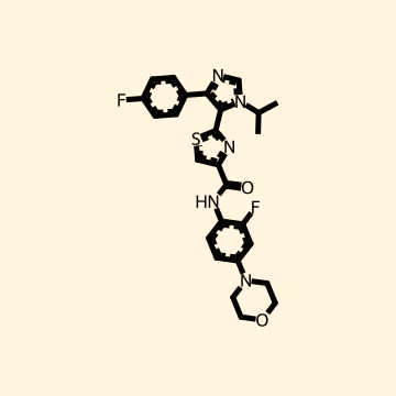 CC(C)n1cnc(-c2ccc(F)cc2)c1-c1nc(C(=O)Nc2ccc(N3CCOCC3)cc2F)cs1